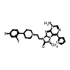 CN1C(=O)N(CCN2CCC(c3ccc(F)cc3F)CC2)C2N=C3C(=C(c4ccco4)N=CN3N)N21